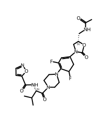 CC(=O)NC[C@H]1CN(C2=CC(F)=C(N3CCN(C(=O)[C@@H](NC(=O)c4ccno4)C(C)C)CC3)C(F)C2)C(=O)O1